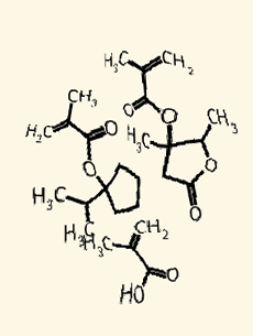 C=C(C)C(=O)O.C=C(C)C(=O)OC1(C(C)C)CCCC1.C=C(C)C(=O)OC1(C)CC(=O)OC1C